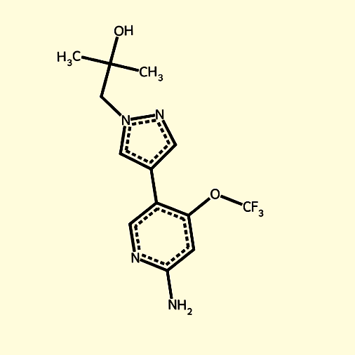 CC(C)(O)Cn1cc(-c2cnc(N)cc2OC(F)(F)F)cn1